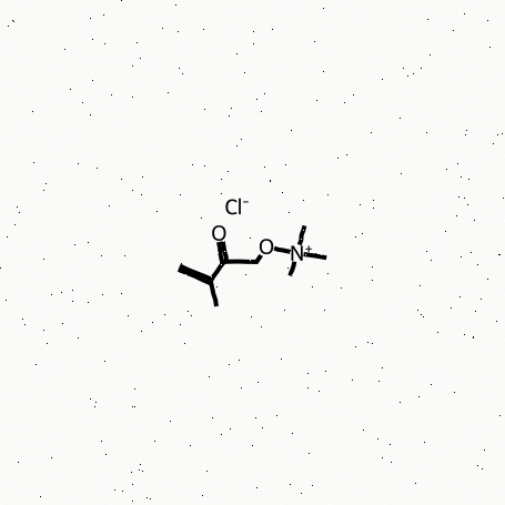 C=C(C)C(=O)CO[N+](C)(C)C.[Cl-]